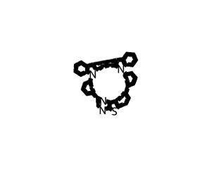 c1ccc2c(c1)c1c3c4ccccc4n4c5cccc(c5)c5cnc6sc7ccc(cc7c6n5)c5cccc(c5)n2c1ccc34